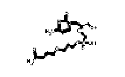 CC(=O)CCCOCCCOP(=O)(O)CO[C@H](CO)Cn1ccc(N)nc1=O